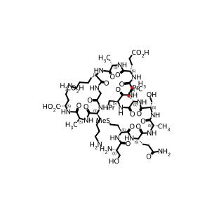 CSCC[C@H](NC(=O)[C@@H](N)CO)C(=O)N[C@@H](CCC(N)=O)C(=O)N[C@@H](C)C(=O)N[C@@H](CO)C(=O)N[C@@H](CC(C)C)C(=O)N[C@@H](CC(C)C)C(=O)N[C@@H](C)C(=O)N[C@@H](CCC(=O)O)C(=O)N[C@@H](C)C(=O)N[C@@H](CCCCN)C(=O)NCC(=O)N[C@@H](CCCCN)C(=O)N[C@@H](C)C(=O)N[C@@H](CCC(=O)O)C(=O)O